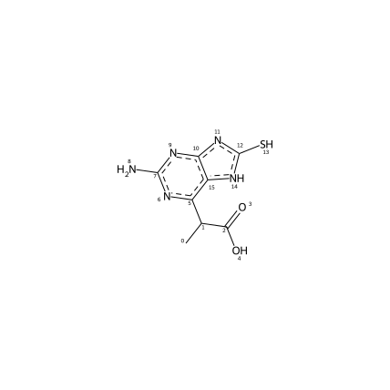 CC(C(=O)O)c1nc(N)nc2nc(S)[nH]c12